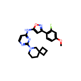 COc1ccc(-c2cc(Nc3ccnc(N4CCCC5(CCC5)C4)n3)on2)c(F)c1